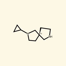 C1C[C@]2(CCN(C3CC3)C2)CN1